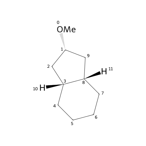 CO[C@H]1C[C@H]2CCCC[C@H]2C1